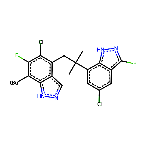 CC(C)(C)c1c(F)c(Cl)c(CC(C)(C)c2cc(Cl)cc3c(F)n[nH]c23)c2cn[nH]c12